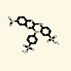 NS(=O)(=O)c1ccc(Nc2nc3ccc([N+](=O)[O-])cc3nc2Nc2ccc(S(N)(=O)=O)cc2)cc1